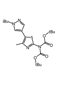 CCC(C)n1cc(-c2sc(N(C(=O)OC(C)(C)C)C(=O)OC(C)(C)C)nc2C)cn1